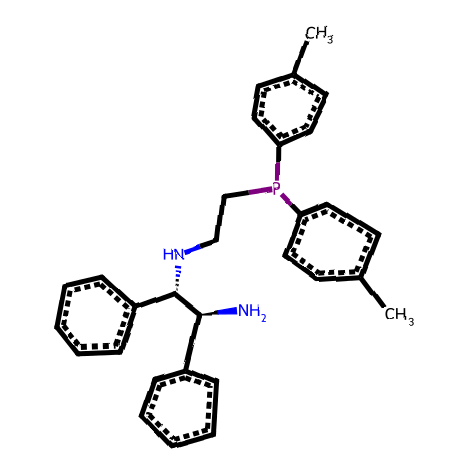 Cc1ccc(P(CCN[C@@H](c2ccccc2)[C@@H](N)c2ccccc2)c2ccc(C)cc2)cc1